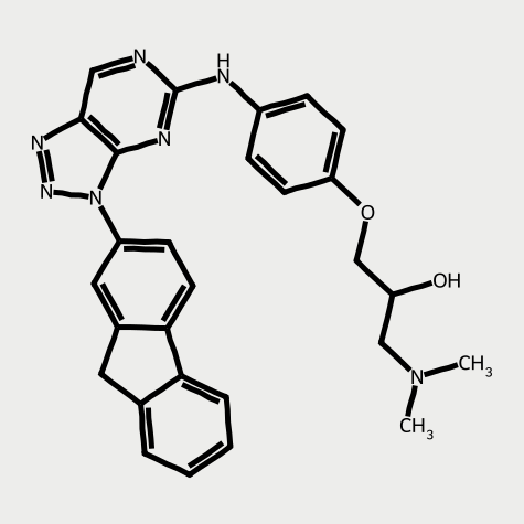 CN(C)CC(O)COc1ccc(Nc2ncc3nnn(-c4ccc5c(c4)Cc4ccccc4-5)c3n2)cc1